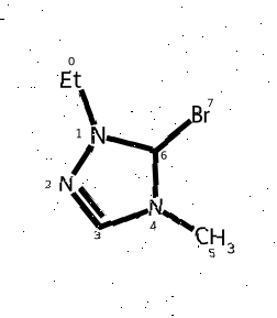 CCN1N=CN(C)C1Br